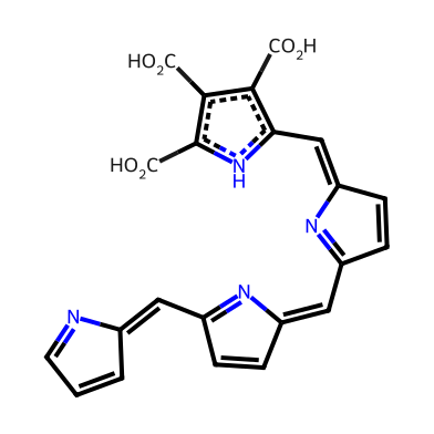 O=C(O)c1[nH]c(C=C2C=CC(C=C3C=CC(C=C4C=CC=N4)=N3)=N2)c(C(=O)O)c1C(=O)O